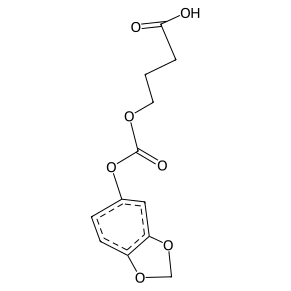 O=C(O)CCCOC(=O)Oc1ccc2c(c1)OCO2